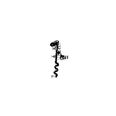 CC/C=C\C/C=C\C/C=C\C/C=C\C/C=C\C/C=C\CCC(=O)NCCC(CCNC(=O)C1=CC(=O)C(C)(c2ccccc2)O1)C(=O)OCC(CO)CO